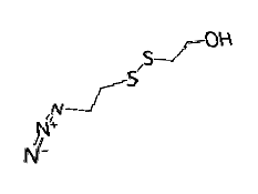 [N-]=[N+]=NCCSSCCO